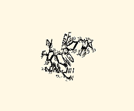 C[C@@H](C#N)CNc1cc(-c2cc(C#N)c(F)cc2-c2nncn2C)cc(N2Cc3c(cc(CN4CCC5(CC5)C4)cc3C(F)(F)F)C2=O)n1